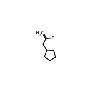 C=C(F)CC1CCCC1